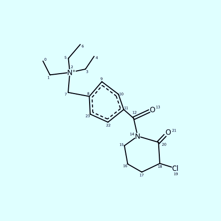 CC[N+](CC)(CC)Cc1ccc(C(=O)N2CCCC(Cl)C2=O)cc1